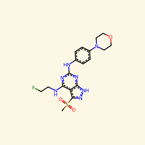 CS(=O)(=O)c1n[nH]c2nc(Nc3ccc(N4CCOCC4)cc3)nc(NCCF)c12